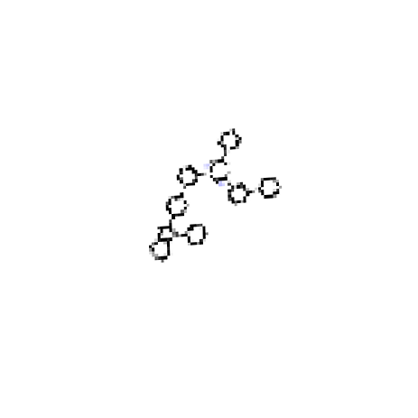 C=C(/N=C(\N=C(/C)c1cccc(-c2ccccc2)c1)c1cccc(-c2ccc(-c3nc4ccccc4n3-c3ccccc3)cc2)c1)c1ccccc1